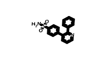 NS(=O)(=O)c1ccc(-c2cccnc2-c2ccccc2)cc1